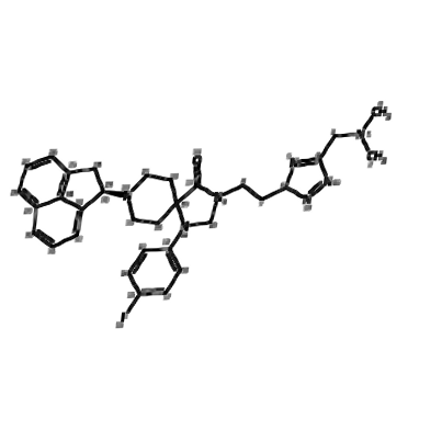 CN(C)CC1=NC(CCN2CN(c3ccc(F)cc3)C3(CCN([C@@H]4Cc5cccc6cccc4c56)CC3)C2=O)N=N1